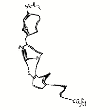 CCOC(=O)CCc1ccc2sc3nc(-c4ccc(N)cc4)cn3c2c1